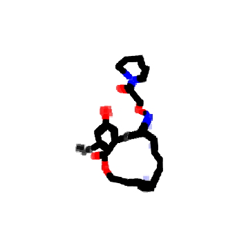 Cc1cc(O)cc2c1C(=O)OCC/C=C/CC/C=C/C(=N/OCC(=O)N1CCCCC1)C2